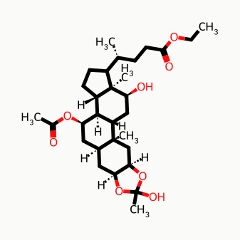 CCOC(=O)CC[C@@H](C)C1CC[C@H]2[C@@H]3[C@H](OC(C)=O)C[C@@H]4C[C@@H]5OC(C)(O)O[C@@H]5C[C@]4(C)[C@H]3C[C@H](O)[C@]12C